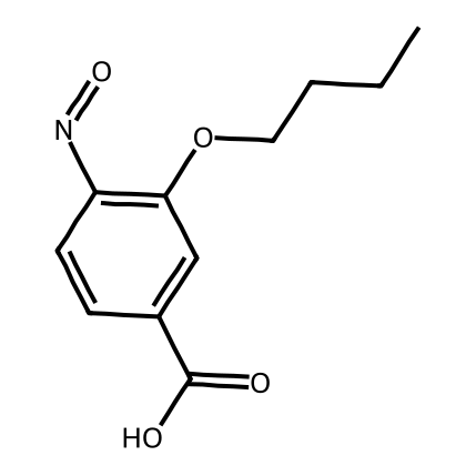 CCCCOc1cc(C(=O)O)ccc1N=O